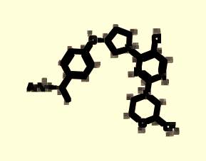 CC(=O)N[C@@H](C)c1ccc(O[C@@H]2CCN(c3nc(N4CCOC(C(F)(F)F)C4)ncc3Cl)C2)cc1